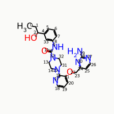 CCC(O)c1cccc(NC(=O)N2CCN(c3ncccc3OCc3ccnc(N)n3)CC2)c1